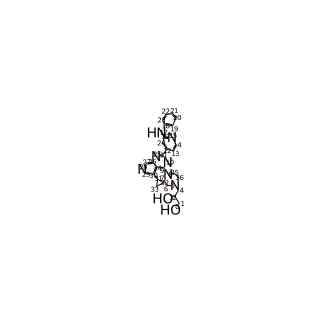 OC[C@@H](O)CN1CCN(c2nc(-c3ccnc(Nc4ccccc4)c3)nc3cncc(C4CC4)c23)CC1